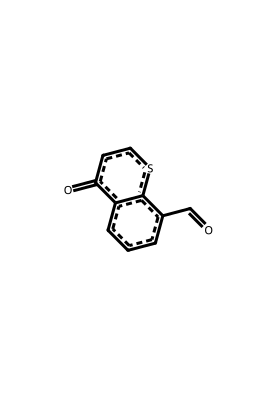 O=Cc1cccc2c(=O)ccsc12